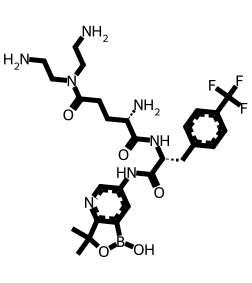 CC1(C)OB(O)c2cc(NC(=O)[C@@H](Cc3ccc(C(F)(F)F)cc3)NC(=O)[C@@H](N)CCC(=O)N(CCN)CCN)cnc21